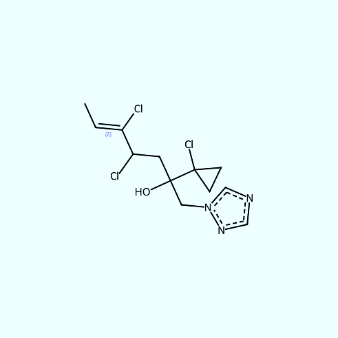 C/C=C(\Cl)C(Cl)CC(O)(Cn1cncn1)C1(Cl)CC1